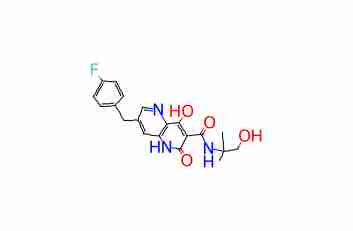 CC(C)(CO)NC(=O)c1c(O)c2ncc(Cc3ccc(F)cc3)cc2[nH]c1=O